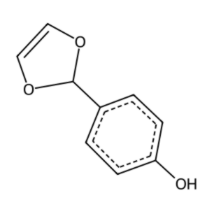 Oc1ccc(C2OC=CO2)cc1